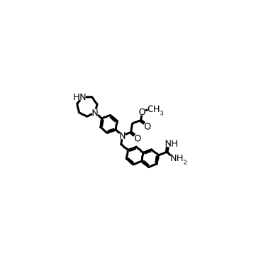 COC(=O)CC(=O)N(Cc1ccc2ccc(C(=N)N)cc2c1)c1ccc(N2CCCNCC2)cc1